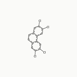 Clc1cc2ccc3cc(Cl)c(Cl)cc3c2cc1Cl